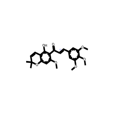 COc1cc(/C=C/C(=O)c2c(OC)cc3c(c2O)C=CC(C)(C)O3)cc(OC)c1OC